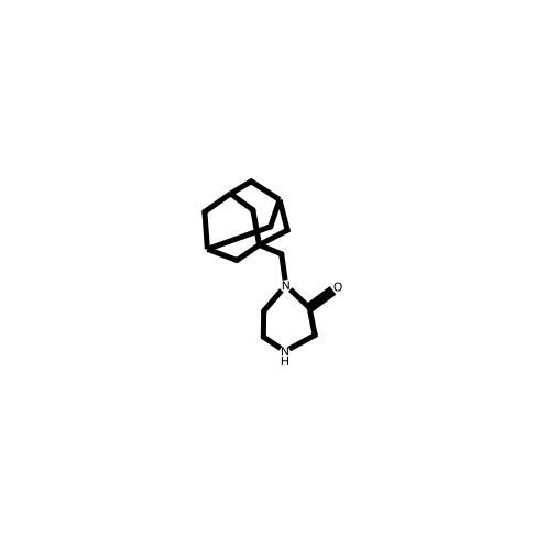 O=C1CNCCN1CC12CC3CC(CC(C3)C1)C2